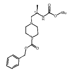 C[C@H](CN1CCN(C(=O)OCc2ccccc2)CC1)NC(=O)OC(C)(C)C